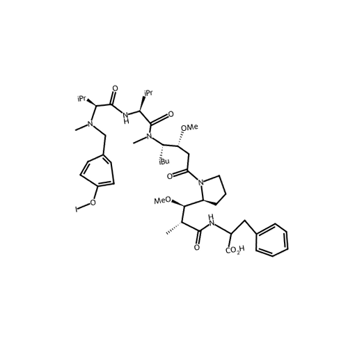 CCC(C)[C@@H]([C@@H](CC(=O)N1CCC[C@H]1[C@H](OC)[C@@H](C)C(=O)NC(Cc1ccccc1)C(=O)O)OC)N(C)C(=O)[C@@H](NC(=O)[C@H](C(C)C)N(C)Cc1ccc(OI)cc1)C(C)C